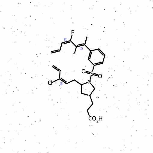 C=C/C=C(F)\C(F)=C(/C)c1cccc(S(=O)(=O)N2CC(CCC(=O)O)CC2C/C=C(/Cl)C=C)c1